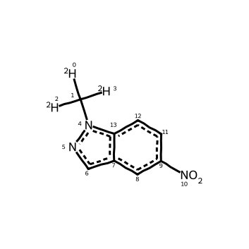 [2H]C([2H])([2H])n1ncc2cc([N+](=O)[O-])ccc21